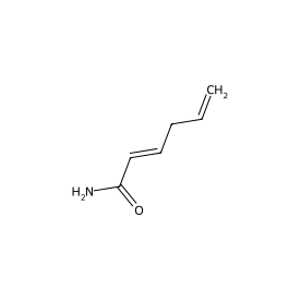 C=CC/C=C/C(N)=O